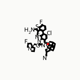 N#Cc1c(N)sc2c(F)ccc(-c3c(Cl)cc4c(N5CC6CC7(C6)CC(C5)C7C(=O)N5CC(C#N)C5)nc(OC[C@@]56CCCN5C[C@H](F)C6)nc4c3F)c12